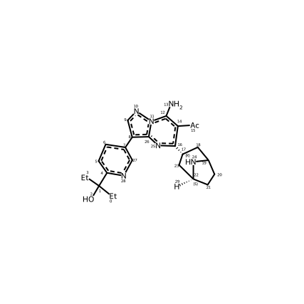 CCC(O)(CC)c1ccc(-c2cnn3c(N)c(C(C)=O)c([C@@H]4CC5CC[C@@H](C4)N5)nc23)cn1